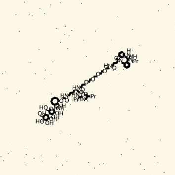 CC(C)C(=O)[C@H](C)NC(=O)[C@@H](NC(=O)[C@@H](CCCCNC(=O)COC1CCCCCC2=C1NNN2[C@H]1O[C@H](CO)[C@@H](C2C[C@H](CO)[C@@H](O)[C@H](O)[C@H]2O)[C@H](O)[C@H]1O)NC(=O)CCOCCOCCOCCOCCNC(=O)CCC(=O)N1Cc2ccccc2C2=C(NNN2C(C)C)c2ccccc21)C(C)C